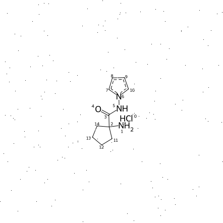 Cl.NC1(C(=O)Nn2cccc2)CCCC1